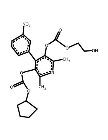 Cc1nc(C)c(OC(=O)OC2CCCC2)c(-c2cccc([N+](=O)[O-])c2)c1OC(=O)OCCO